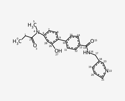 CCC(=O)N(C)c1ccc(-c2ccc(C(=O)NCc3cccnc3)cc2)c(O)c1